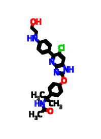 CC(=O)NC(C)(C)c1ccc(Oc2nc3nc(-c4ccc(NCCO)cc4)c(Cl)cc3[nH]2)cc1